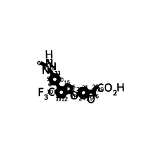 Cc1nc(-c2ccc(-c3c(C(F)(F)F)ccc4c3CC[C@H]4Oc3ccc4c(c3)OCC4CC(=O)O)cc2)n[nH]1